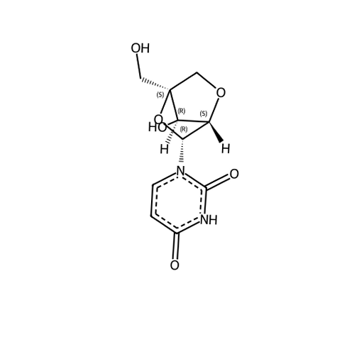 O=c1ccn([C@@H]2O[C@@]3(CO)CO[C@H]2[C@H]3O)c(=O)[nH]1